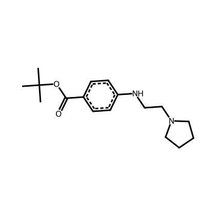 CC(C)(C)OC(=O)c1ccc(NCCN2CCCC2)cc1